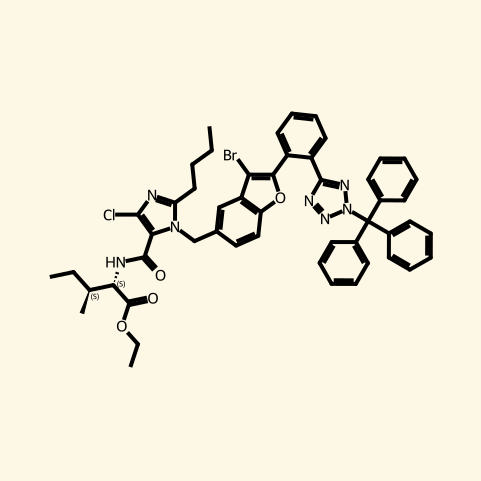 CCCCc1nc(Cl)c(C(=O)N[C@H](C(=O)OCC)[C@@H](C)CC)n1Cc1ccc2oc(-c3ccccc3-c3nnn(C(c4ccccc4)(c4ccccc4)c4ccccc4)n3)c(Br)c2c1